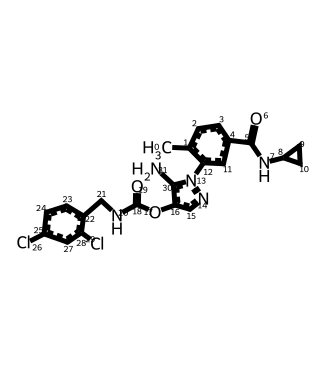 Cc1ccc(C(=O)NC2CC2)cc1-n1ncc(OC(=O)NCc2ccc(Cl)cc2Cl)c1N